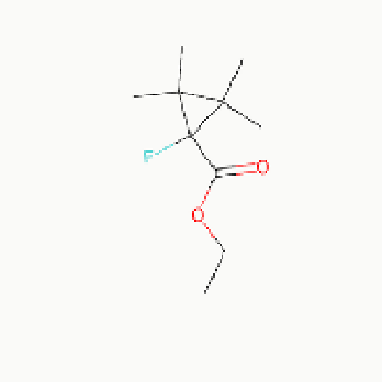 CCOC(=O)C1(F)C(C)(C)C1(C)C